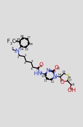 CN(CCCCCC(=O)Nc1ccn(C2CSC(CO)O2)c(=O)n1)c1ccccc1C(F)(F)F